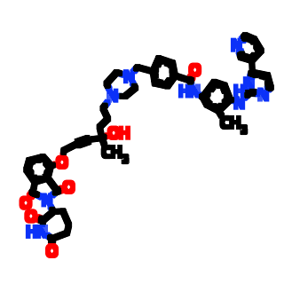 Cc1cc(NC(=O)c2ccc(CN3CCN(CCCC(C)(O)C#CCOc4cccc5c4C(=O)N(C4CCCC(=O)NC4=O)C5=O)CC3)cc2)ccc1Nc1nccc(-c2cccnc2)n1